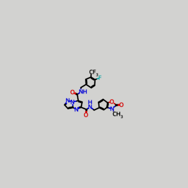 Cn1c(=O)oc2ccc(CNC(=O)c3cc(C(=O)NCc4ccc(F)c(C(F)(F)F)c4)n4nccc4n3)cc21